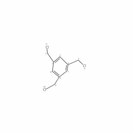 ClCc1[c]c(CCl)cc(CCl)c1